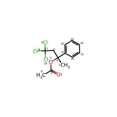 CC(=O)OC(C)(CC(Cl)(Cl)Cl)c1ccccc1